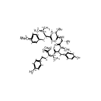 CC[C@H](C)[C@@H](OC(=O)[C@H](Cc1ccc(OC)cc1)N(C)C)C(=O)N[C@@H](C(=O)N(C)[C@@H](Cc1ccc(O)cc1)C(=O)N(C)[C@H](CCc1ccc(O)cc1)C(=O)OC)C(C)C